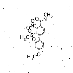 C=NC(=O)c1ccc(-c2ccc(OC)cc2)c(S(C)(=O)=O)c1[N+](=O)[O-]